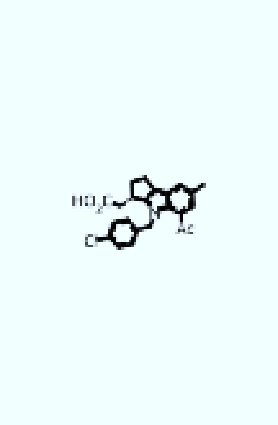 CC(=O)c1cc(C)cc2c3c(n(Cc4ccc(Cl)cc4)c12)[C@@H](CC(=O)O)CC3